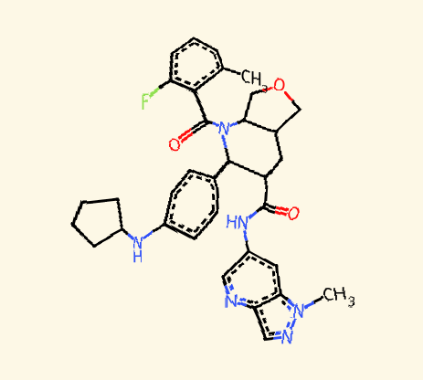 Cc1cccc(F)c1C(=O)N1C2COCC2CC(C(=O)Nc2cnc3cnn(C)c3c2)C1c1ccc(NC2CCCC2)cc1